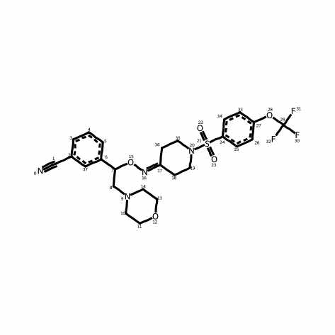 N#Cc1cccc(C(CN2CCOCC2)ON=C2CCN(S(=O)(=O)c3ccc(OC(F)(F)F)cc3)CC2)c1